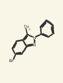 Cc1c2ccc(Br)cc2nn1-c1ccccc1